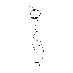 CC(C)(C)C(=O)CN1CC2CN(CC(O)COc3ccc(C#N)cc3)CC(C1)O2